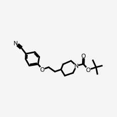 CC(C)(C)OC(=O)N1CCC(CCOc2ccc(C#N)cc2)CC1